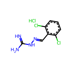 Cl.N=C(N)NN=Cc1c(Cl)cccc1Cl